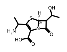 CC(N)C1=C(C(=O)O)N2C(=O)C(C(C)O)[C@@H]2S1